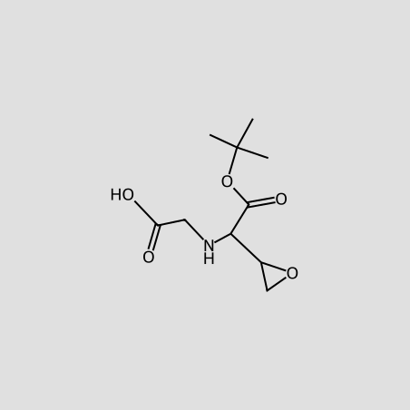 CC(C)(C)OC(=O)C(NCC(=O)O)C1CO1